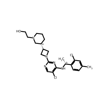 Cc1ccc([C@@H](C)Nc2nc(N3CC([C@H]4CCCN(CCO)C4)C3)ncc2Cl)c(Cl)c1